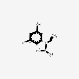 C=COP(O)O.Oc1cccc(F)c1